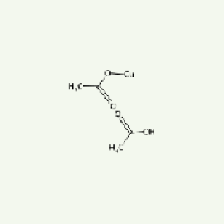 CC(=O)O.CC(=O)[O][Cu]